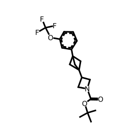 CC(C)(C)OC(=O)N1CC(C23CC(c4cccc(OC(F)(F)F)c4)(C2)C3)C1